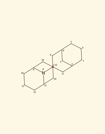 C1CC2CC(C1)CC(N1C3CCCC1CCC3)C2